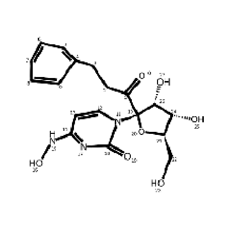 O=C(CCc1ccccc1)[C@@]1(n2ccc(NO)nc2=O)O[C@H](CO)[C@@H](O)[C@H]1O